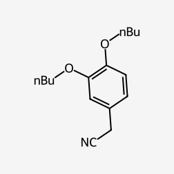 CCCCOc1ccc(CC#N)cc1OCCCC